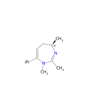 CC1=N[C@H](C)CC=C(C(C)C)N1C